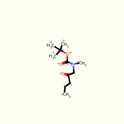 CCCC(=O)CN(C)C(=O)OC(C)(C)C